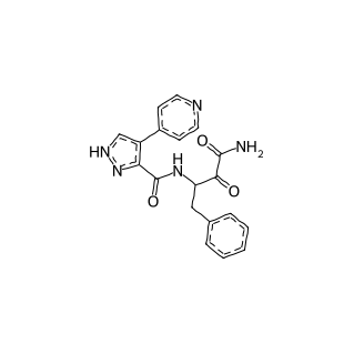 NC(=O)C(=O)C(Cc1ccccc1)NC(=O)c1n[nH]cc1-c1ccncc1